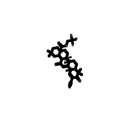 CC1(C)CC[C@]2(C(=O)OCC(F)(F)F)CC[C@]3(C)C(C(=O)C=C4[C@@]5(C)C=C(C#N)C(=O)C(C)(C)C5CC[C@]43C)C2C1